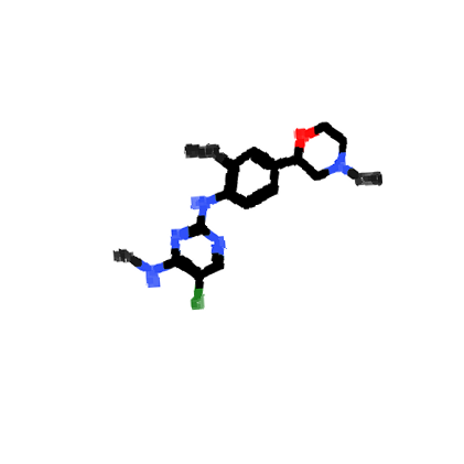 CCCNc1nc(Nc2ccc(C3CN(C=O)CCO3)cc2OC)ncc1Cl